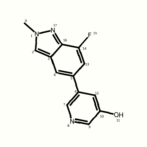 Cn1cc2cc(-c3cncc(O)c3)cc(F)c2n1